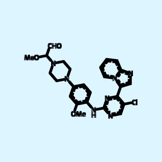 COc1cc(N2CCN(C(C=O)OC)CC2)ccc1Nc1ncc(Cl)c(-c2cnc3ccccn23)n1